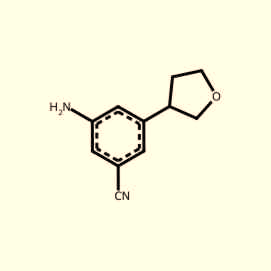 N#Cc1cc(N)cc(C2CCOC2)c1